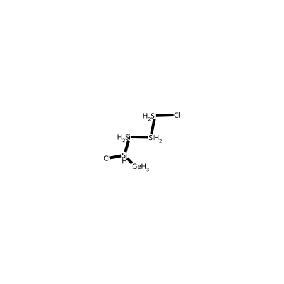 Cl[SiH2][SiH2][SiH2][SiH](Cl)[GeH3]